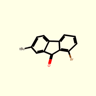 CC(C)(C)c1ccc2c(c1)C(=O)c1c(Br)cccc1-2